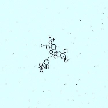 CS(=O)(=O)Nc1ccc(CCC(=O)O[C@@H](Cc2c(Cl)c[n+]([O-])cc2Cl)c2ccc(OC(F)F)c(OCC3CC3)c2)cc1